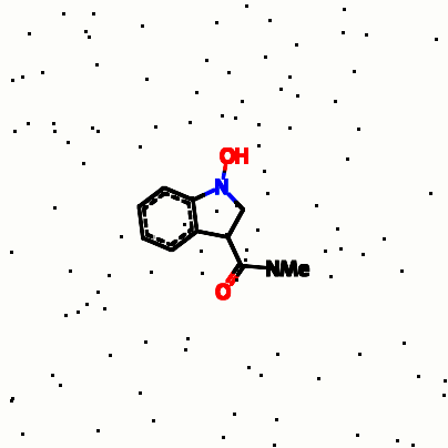 CNC(=O)C1CN(O)c2ccccc21